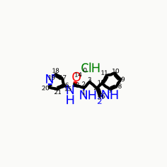 Cl.N[C@H](Cc1c[nH]c2ccccc12)C(=O)Nc1ccncc1